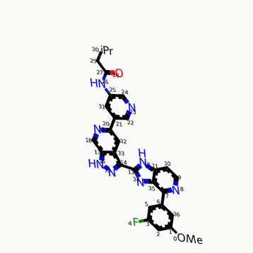 COc1cc(F)cc(-c2nccc3[nH]c(-c4n[nH]c5cnc(-c6cncc(NC(=O)CC(C)C)c6)cc45)nc23)c1